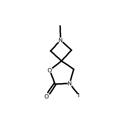 CN1CC2(C1)CN(I)C(=O)O2